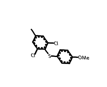 COc1ccc(Sc2c(Cl)cc(C)cc2Cl)cc1